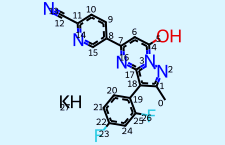 Cc1nn2c(O)cc(-c3ccc(C#N)nc3)nc2c1-c1ccc(F)cc1F.[KH]